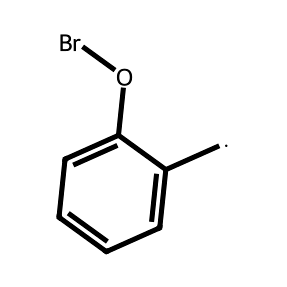 [CH2]c1ccccc1OBr